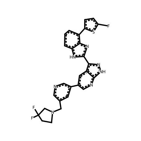 Fc1ccc(-c2cccc3[nH]c(-c4n[nH]c5ncc(-c6cncc(CN7CCC(F)(F)C7)c6)cc45)nc23)s1